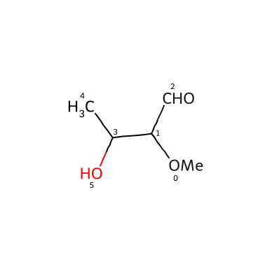 COC(C=O)C(C)O